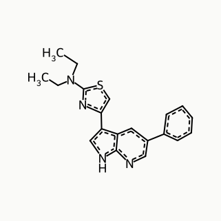 CCN(CC)c1nc(-c2c[nH]c3ncc(-c4ccccc4)cc23)cs1